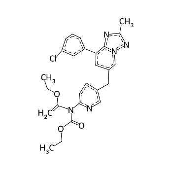 C=C(OCC)N(C(=O)OCC)c1ccc(Cc2cc(-c3cccc(Cl)c3)c3nc(C)nn3c2)cn1